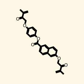 C=C(C)C(=O)COc1ccc(OC(=O)c2ccc3cc(OCC(=O)C(=C)C)ccc3c2)cc1